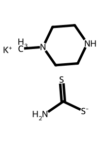 CN1CCNCC1.NC(=S)[S-].[K+]